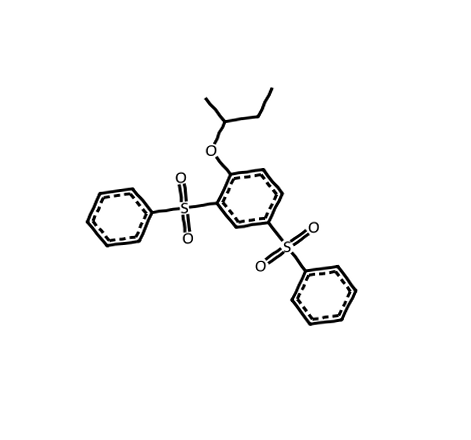 CCC(C)Oc1ccc(S(=O)(=O)c2ccccc2)cc1S(=O)(=O)c1ccccc1